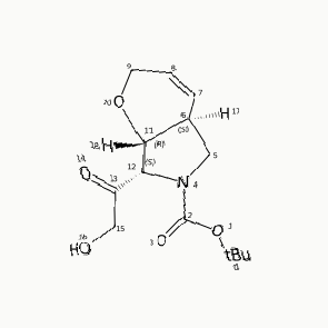 CC(C)(C)OC(=O)N1C[C@@H]2C=CCO[C@H]2[C@H]1C(=O)CO